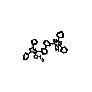 CC1C2C(c3ccccc3)=CC(c3ccccc3)N2C1c1cccc(-c2cccc(C3N=C(c4ccccc4)N=C(c4ccccc4)N3)c2)c1